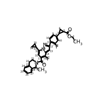 CCOC(=O)C1CC1c1ccc(-c2cc3c(F)c(C(=O)N4CCc5ccccc5[C@H]4C)cc(C4CC4)n3n2)c(F)c1